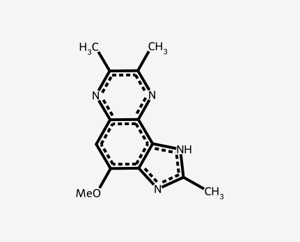 COc1cc2nc(C)c(C)nc2c2[nH]c(C)nc12